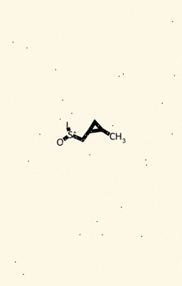 CC1CC1C[S+]([O-])I